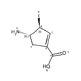 N[C@H]1CC(C(=O)O)=C[C@@H]1I